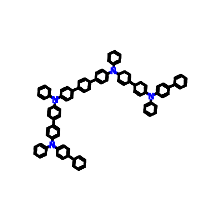 C1=CC(N(c2ccccc2)c2ccc(-c3ccc(-c4ccc(N(c5ccccc5)c5ccc(-c6ccc(N(c7ccccc7)c7ccc(-c8ccccc8)cc7)cc6)cc5)cc4)cc3)cc2)CC=C1C1C=CC(N(c2ccccc2)c2ccc(-c3ccccc3)cc2)=CC1